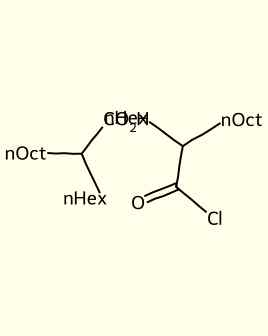 CCCCCCCCC(CCCCCC)C(=O)Cl.CCCCCCCCC(CCCCCC)C(=O)O